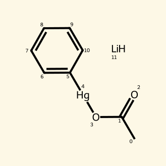 CC(=O)[O][Hg][c]1ccccc1.[LiH]